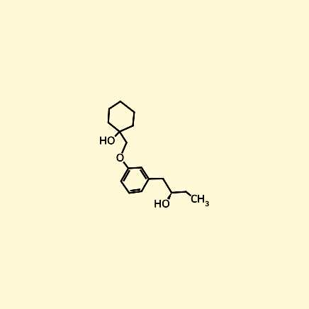 CC[C@@H](O)Cc1cccc(OCC2(O)CCCCC2)c1